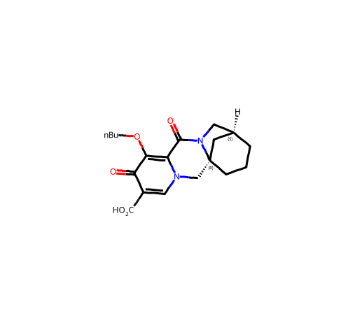 CCCCOc1c2n(cc(C(=O)O)c1=O)C[C@]13CCC[C@H](CN1C2=O)C3